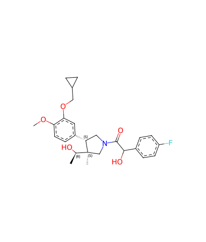 COc1ccc([C@@H]2CN(C(=O)C(O)c3ccc(F)cc3)C[C@@]2(C)[C@@H](C)O)cc1OCC1CC1